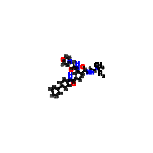 CN(C)CCNC(=O)c1ccc(C(=O)Nc2ccc(-c3ccccc3)cc2)cc1NC(=O)CN1CCOCC1